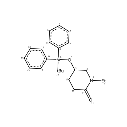 CCN1CC(O[Si](c2ccccc2)(c2ccccc2)C(C)(C)C)CCC1=O